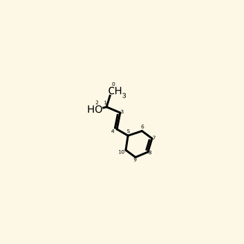 CC(O)C=CC1CC=CCC1